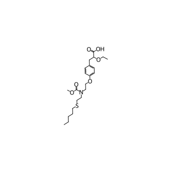 CCCCCSCCN(CCOc1ccc(CC(OCC)C(=O)O)cc1)C(=O)OC